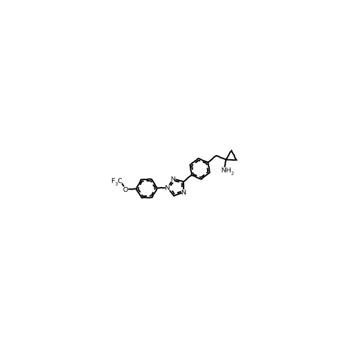 NC1(Cc2ccc(-c3ncn(-c4ccc(OC(F)(F)F)cc4)n3)cc2)CC1